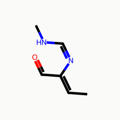 C/C=C(C=O)\N=C/NC